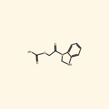 CCCC(=O)OCC(=O)N1CNc2ccccc21